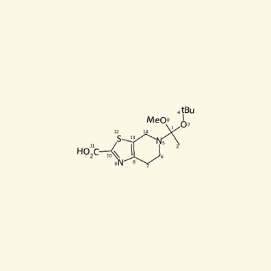 COC(C)(OC(C)(C)C)N1CCc2nc(C(=O)O)sc2C1